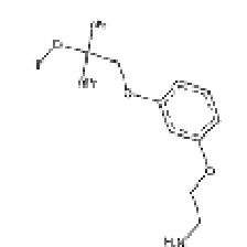 CCCC(CCC)(COc1cccc(OCCN)c1)OI